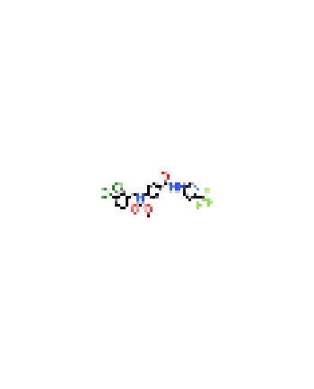 COC(=O)N(Cc1cccc(Cl)c1Cl)c1ccc(C(=O)NCc2ccc(C(F)(F)F)nc2)cc1